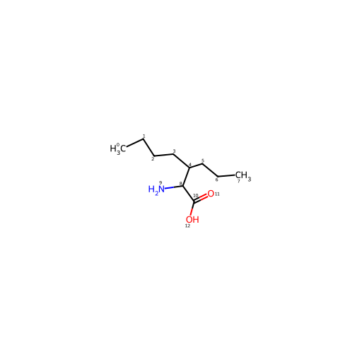 CCCCC(CCC)C(N)C(=O)O